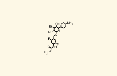 C=CC(=O)Nc1cc(F)c(CSc2nc(N3CCC(N)CC3)c(C#N)c(CC)c2C#N)cc1F